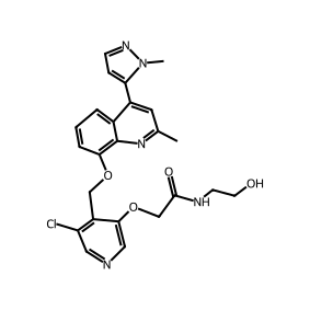 Cc1cc(-c2ccnn2C)c2cccc(OCc3c(Cl)cncc3OCC(=O)NCCO)c2n1